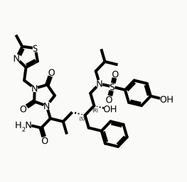 Cc1nc(CN2C(=O)CN(C(C(N)=O)C(C)C[C@@H](Cc3ccccc3)[C@@H](O)CN(CC(C)C)S(=O)(=O)c3ccc(O)cc3)C2=O)cs1